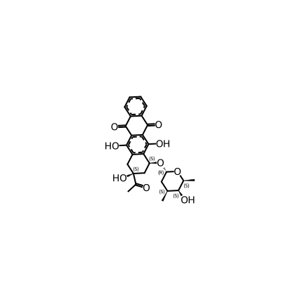 CC(=O)[C@]1(O)Cc2c(O)c3c(c(O)c2[C@@H](O[C@H]2C[C@H](C)[C@H](O)[C@H](C)O2)C1)C(=O)c1ccccc1C3=O